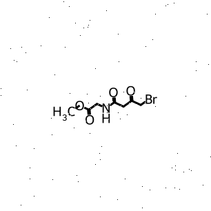 COC(=O)CNC(=O)CC(=O)CBr